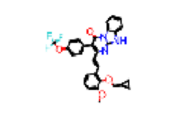 COc1cccc(/C=C/c2nc3[nH]c4ccccc4n3c(=O)c2-c2ccc(OC(F)(F)F)cc2)c1OCC1CC1